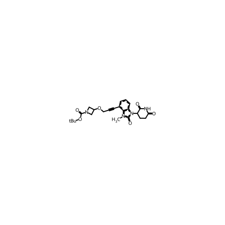 Cn1c(=O)n(C2CCC(=O)NC2=O)c2cccc(C#CCOC3CN(C(=O)OC(C)(C)C)C3)c21